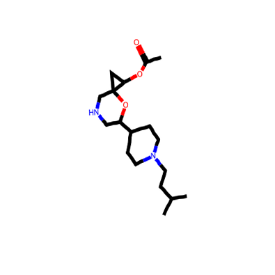 CC(=O)OC1CC12CNCC(C1CCN(CCC(C)C)CC1)O2